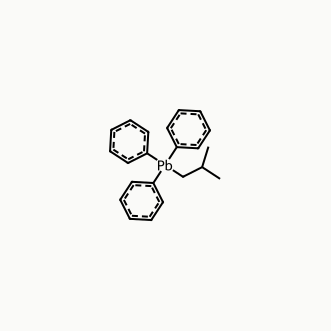 CC(C)[CH2][Pb]([c]1ccccc1)([c]1ccccc1)[c]1ccccc1